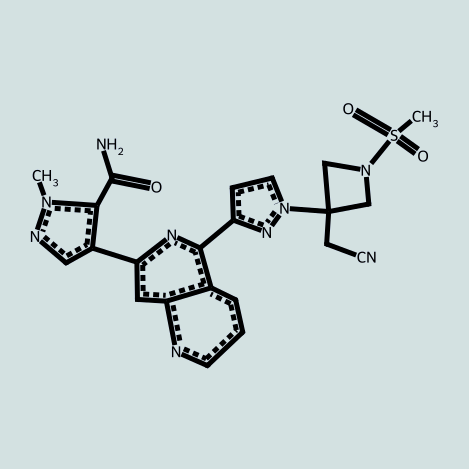 Cn1ncc(-c2cc3ncccc3c(-c3ccn(C4(CC#N)CN(S(C)(=O)=O)C4)n3)n2)c1C(N)=O